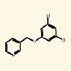 Clc1cc(Cl)cc(OCc2cccnc2)c1